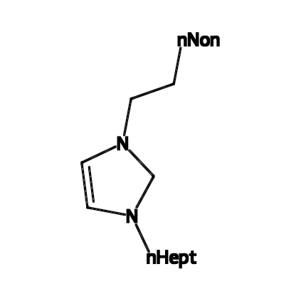 CCCCCCCCCCCN1C=CN(CCCCCCC)C1